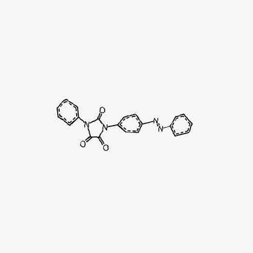 O=C1C(=O)N(c2ccc(N=Nc3ccccc3)cc2)C(=O)N1c1ccccc1